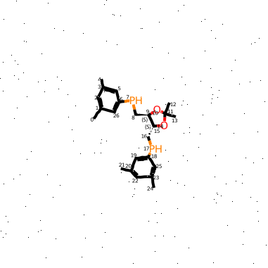 Cc1cc(C)cc(PC[C@H]2OC(C)(C)O[C@@H]2CPc2cc(C)cc(C)c2)c1